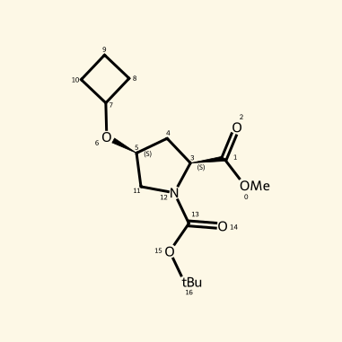 COC(=O)[C@@H]1C[C@H](OC2CCC2)CN1C(=O)OC(C)(C)C